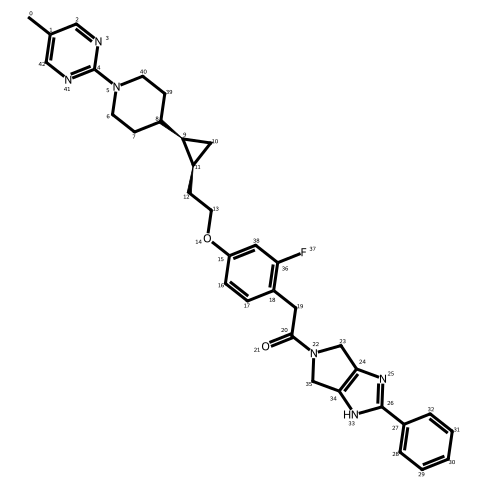 Cc1cnc(N2CCC([C@H]3C[C@H]3CCOc3ccc(CC(=O)N4Cc5nc(-c6ccccc6)[nH]c5C4)c(F)c3)CC2)nc1